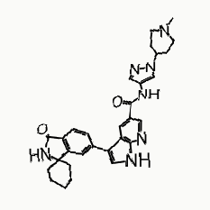 CN1CCC(n2cc(NC(=O)c3cnc4[nH]cc(-c5ccc6c(c5)C5(CCCCC5)NC6=O)c4c3)cn2)CC1